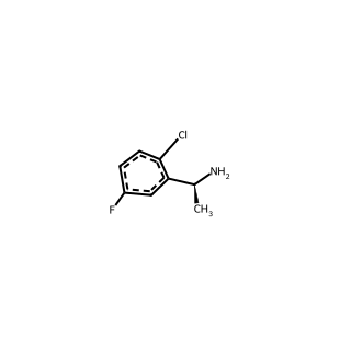 C[C@H](N)c1cc(F)ccc1Cl